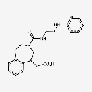 O=C(O)CC1CN(C(=O)NCCNc2ccccn2)CCc2ccccc21